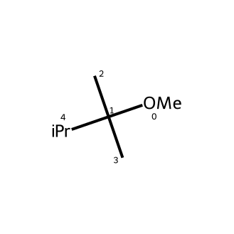 [CH2]OC(C)(C)C(C)C